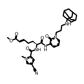 COC(=O)/C=C/CC[C@H](NC(=O)c1cc(C#N)cn1C)C(=O)Nc1cccn(CCCNC23CC4CC(CC(C4)C2)C3)c1=O